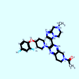 CC(=O)N1CCc2nc(N3CCC(Oc4ccc(F)cc4F)CC3)c(-c3cnc4n3CCN(C)C4)nc2C1